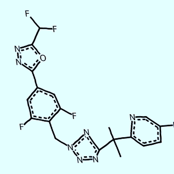 CC(C)(c1ccc(N)cn1)c1nnn(Cc2c(F)cc(-c3nnc(C(F)F)o3)cc2F)n1